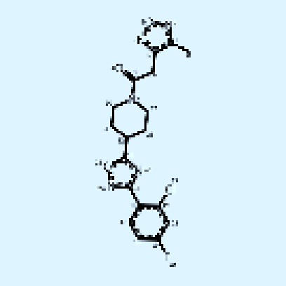 Cc1nonc1CC(=O)N1CCC(c2nc(-c3ccc(F)cc3Cl)no2)CC1